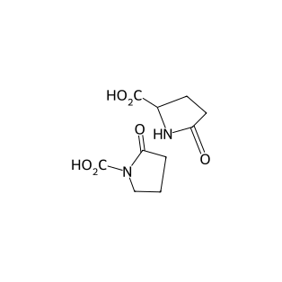 O=C(O)N1CCCC1=O.O=C1CCC(C(=O)O)N1